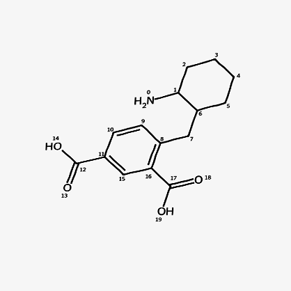 NC1CCCCC1Cc1ccc(C(=O)O)cc1C(=O)O